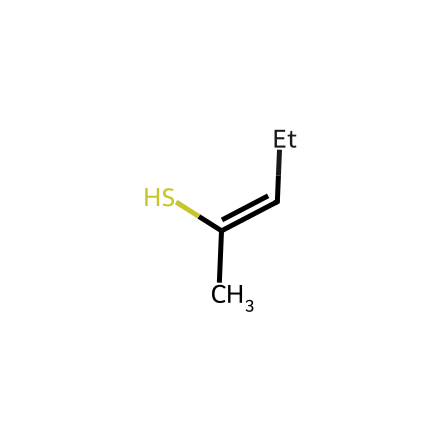 CCC=C(C)S